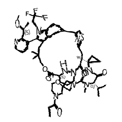 C=CC(=O)N1CCOC2(C1)CN(C(=O)N(C)[C@H](C(=O)NC1([C@H]3Cc4nc(cs4)-c4ccc5c(c4)c(c(-c4cccnc4[C@H](C)OC)n5CC(F)(F)F)CC(C)(C)COC(=O)[C@@H]4CCCN(N4)C3=O)CC1)C(C)C)C2